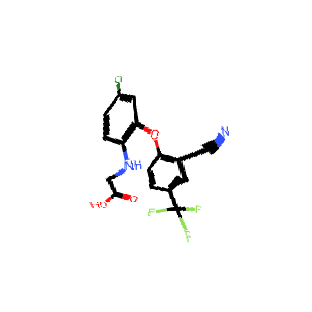 N#Cc1cc(C(F)(F)F)ccc1Oc1cc(Cl)ccc1NCC(=O)O